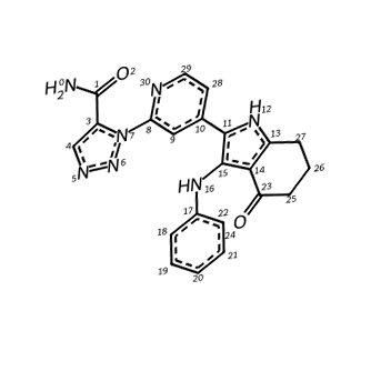 NC(=O)c1cnnn1-c1cc(-c2[nH]c3c(c2Nc2ccccc2)C(=O)CCC3)ccn1